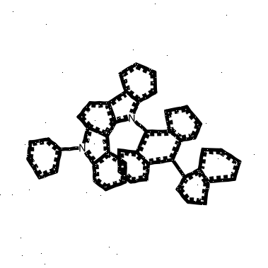 c1ccc(-n2c3ccccc3c3c2ccc2c4ccccc4n(-c4c5ccccc5c(-c5cccc6ccccc56)c5ccccc45)c23)cc1